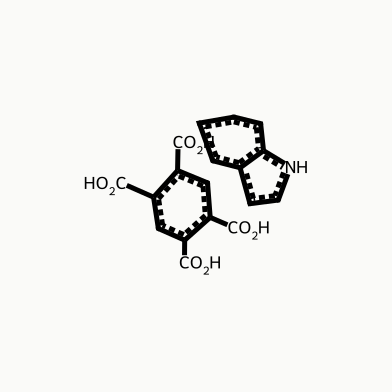 O=C(O)c1cc(C(=O)O)c(C(=O)O)cc1C(=O)O.c1ccc2[nH]ccc2c1